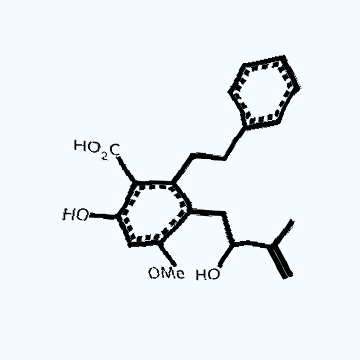 C=C(C)C(O)Cc1c(OC)cc(O)c(C(=O)O)c1CCc1ccccc1